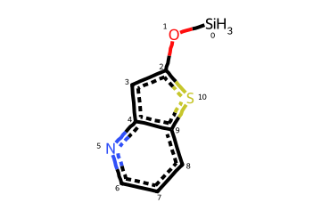 [SiH3]Oc1cc2ncccc2s1